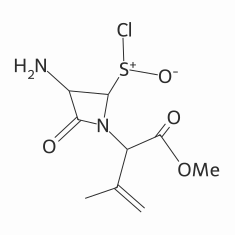 C=C(C)C(C(=O)OC)N1C(=O)C(N)C1[S+]([O-])Cl